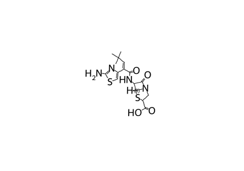 CC(C)(C)C=C(C(=O)NC1C(=O)N2CC(C(=O)O)S[C@H]12)c1csc(N)n1